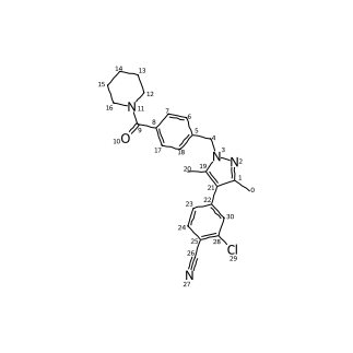 Cc1nn(Cc2ccc(C(=O)N3CCCCC3)cc2)c(C)c1-c1ccc(C#N)c(Cl)c1